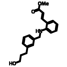 COC(=O)C=Cc1ccccc1NCc1cccc(CCCO)c1